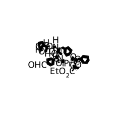 CCOC(=O)[C@H](C)OP(=O)(COc1ccc(C[C@H](NC(=O)O[C@H]2CO[C@H]3OCC[C@H]32)[C@H](O)CN(CC(C)C)S(=O)(=O)c2ccc(C=O)cc2)cc1)Oc1ccccc1